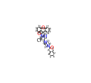 O=C(Cc1ccccc1)N1CCN(CCCCC2(C(=O)NCC(F)(F)F)c3ccccc3Oc3ccccc32)CC1